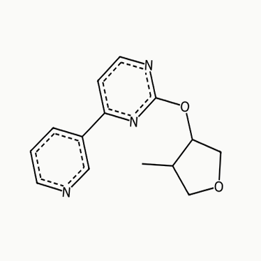 CC1COCC1Oc1nccc(-c2cccnc2)n1